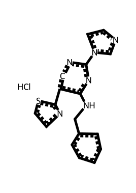 Cl.c1ccc(CNc2nc(-n3ccnc3)ncc2-c2nccs2)cc1